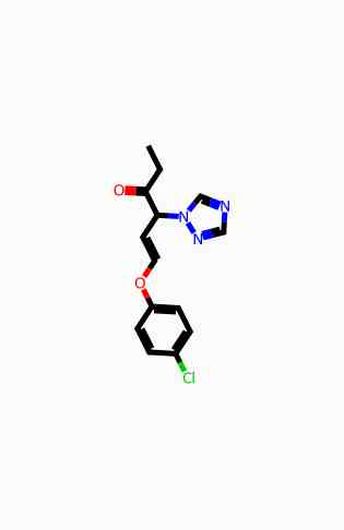 CCC(=O)C(/C=C/Oc1ccc(Cl)cc1)n1cncn1